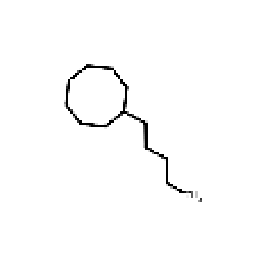 CCCCCC1CCCCCCC1